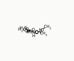 C=CCON=C(C)c1ccc(NC(=O)NCC(=O)OC(C)(C)C)cc1